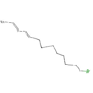 CCC=CC=CCCCCCCCCBr